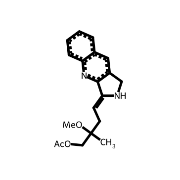 COC(C)(C/C=C1\NCc2cc3ccccc3nc21)COC(C)=O